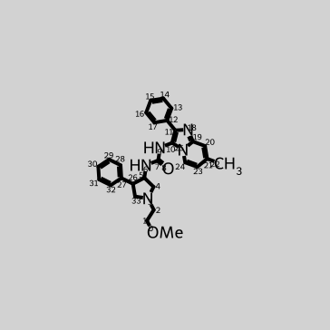 COCCN1CC(NC(=O)Nc2c(-c3ccccc3)nc3cc(C)ccn23)C(c2ccccc2)C1